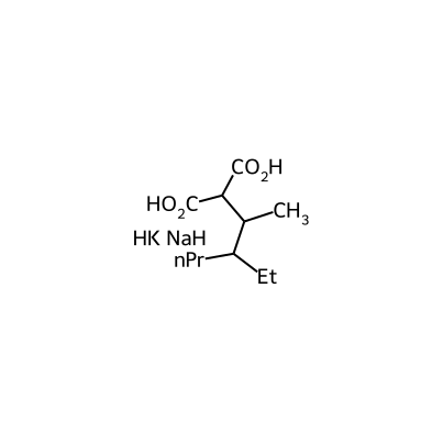 CCCC(CC)C(C)C(C(=O)O)C(=O)O.[KH].[NaH]